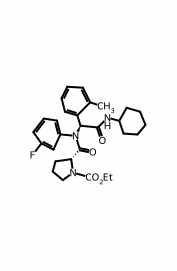 CCOC(=O)N1CCC[C@@H]1C(=O)N(c1cccc(F)c1)[C@H](C(=O)NC1CCCCC1)c1ccccc1C